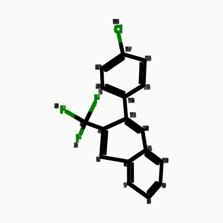 FC(F)(F)c1cc2ccccc2cc1-c1ccc(Cl)cc1